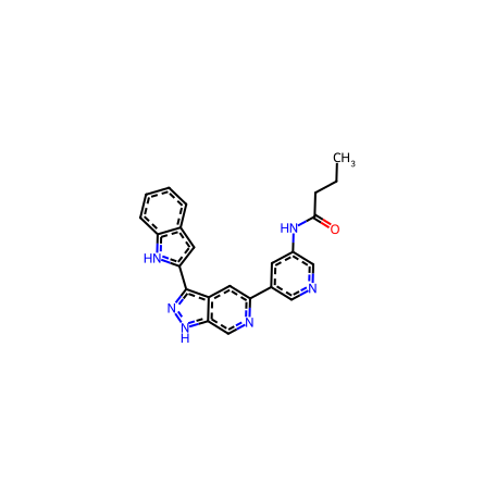 CCCC(=O)Nc1cncc(-c2cc3c(-c4cc5ccccc5[nH]4)n[nH]c3cn2)c1